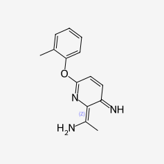 C/C(N)=C1/N=C(Oc2ccccc2C)C=CC1=N